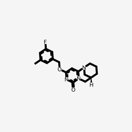 Cc1cc(F)cc(COc2cc3n(c(=O)n2)C[C@H]2CCCN3C2)c1